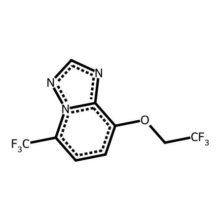 FC(F)(F)COc1ccc(C(F)(F)F)n2ncnc12